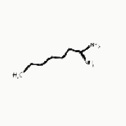 [CH2]CC[CH]CCC(N)N